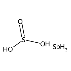 O=S(O)O.[SbH3]